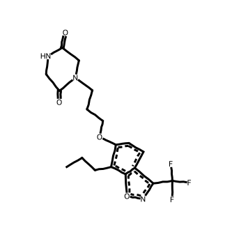 CCCc1c(OCCCN2CC(=O)NCC2=O)ccc2c(C(F)(F)F)noc12